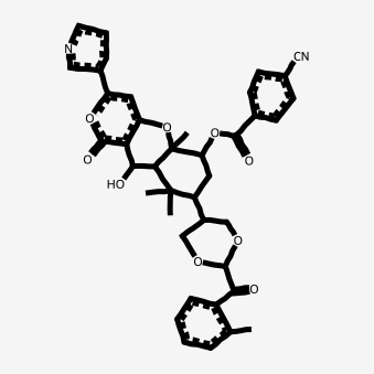 Cc1ccccc1C(=O)C1OCC(C2CC(OC(=O)c3ccc(C#N)cc3)C3(C)Oc4cc(-c5cccnc5)oc(=O)c4C(O)C3C2(C)C)CO1